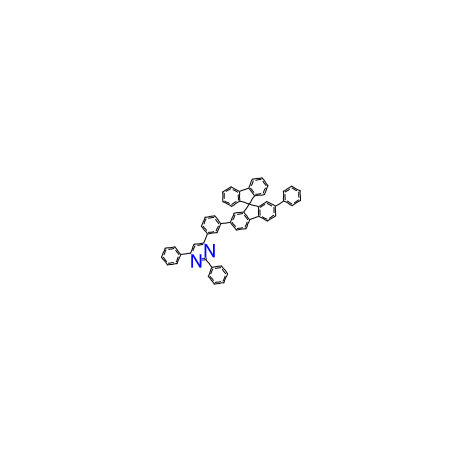 c1ccc(-c2ccc3c(c2)C2(c4ccccc4-c4ccccc42)c2cc(-c4cccc(-c5cc(-c6ccccc6)nc(-c6ccccc6)n5)c4)ccc2-3)cc1